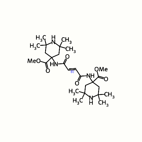 COC(=O)C1(NC(=O)/C=C/C(=O)NC2(C(=O)OC)CC(C)(C)NC(C)(C)C2)CC(C)(C)NC(C)(C)C1